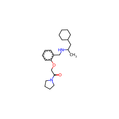 CC(CC1CCCCC1)NCc1ccccc1OCC(=O)N1CCCC1